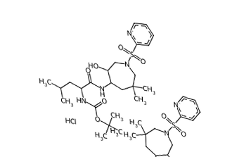 CC(C)CC(NC(=O)OC(C)(C)C)C(=O)NC1CC(C)(C)CN(S(=O)(=O)c2ccccn2)CC1O.CC1(C)CC(N)C(O)CN(S(=O)(=O)c2ccccn2)C1.Cl